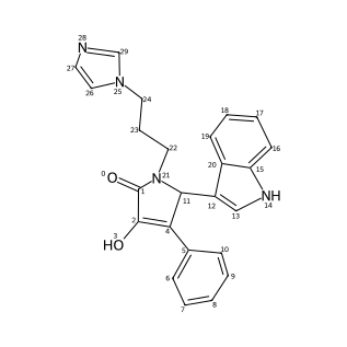 O=C1C(O)=C(c2ccccc2)C(c2c[nH]c3ccccc23)N1CCCn1ccnc1